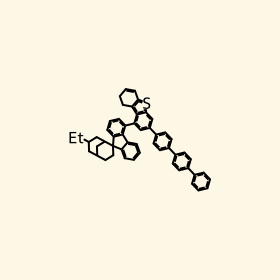 CCC1CC2CCC3(C4=CC=C=C=C4c4c(-c5cc(-c6ccc(-c7ccc(-c8ccccc8)cc7)cc6)cc6sc7c(c56)CCC=C7)cccc43)C(C1)C2